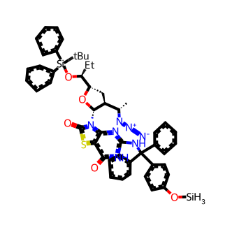 CC[C@H](O[Si](c1ccccc1)(c1ccccc1)C(C)(C)C)[C@@H]1C[C@@H]([C@H](C)N=[N+]=[N-])[C@H](n2c(=O)sc3c(=O)[nH]c(NC(c4ccccc4)(c4ccccc4)c4ccc(O[SiH3])cc4)nc32)O1